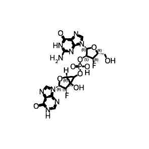 Nc1nc2c(ncn2[C@@H]2O[C@H](CO)[C@@H](F)[C@H]2OP(=O)(O)OC2[C@H]3O[C@@H](n4cnc5c(=O)[nH]cnc54)[C@@H](F)[C@@]23O)c(=O)[nH]1